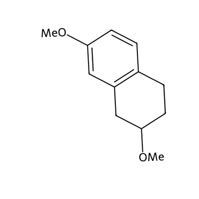 COc1ccc2c(c1)CC(OC)CC2